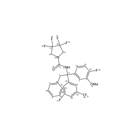 COc1cc(C(Cc2ccccc2)(NC(=O)N2CC(F)(F)C(F)(F)C2)c2cc(F)cc(C(F)(F)F)c2)ccc1F